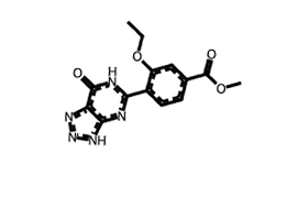 CCOc1cc(C(=O)OC)ccc1-c1nc2[nH]nnc2c(=O)[nH]1